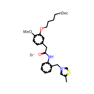 CCCCCCCCCCCCCCOc1cc(CC(=O)Nc2ccccc2C[n+]2csc(C)c2)ccc1OC.[Br-]